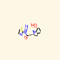 O=C(Nc1nccs1)c1ccc2cccc(O)c2n1